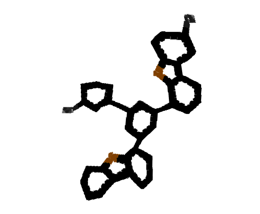 N#Cc1cccc(-c2cc(-c3cccc4c3sc3ccccc34)cc(-c3cccc4c3sc3ccc(C#N)cc34)c2)c1